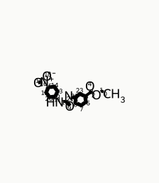 CCOC(=O)c1ccc2oc(Nc3ccc([N+](=O)[O-])cc3)nc2c1